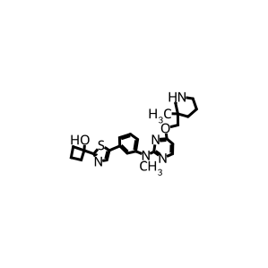 CN(c1cccc(-c2cnc(C3(O)CCC3)s2)c1)c1nccc(OCC2(C)CCCNC2)n1